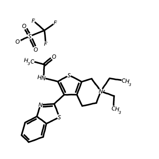 CC[N+]1(CC)CCc2c(sc(NC(C)=O)c2-c2nc3ccccc3s2)C1.O=S(=O)([O-])C(F)(F)F